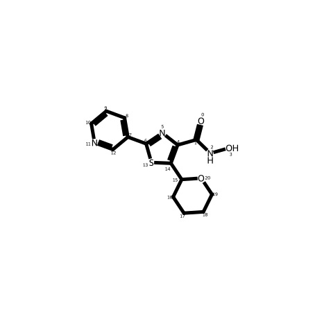 O=C(NO)c1nc(-c2cccnc2)sc1C1CCCCO1